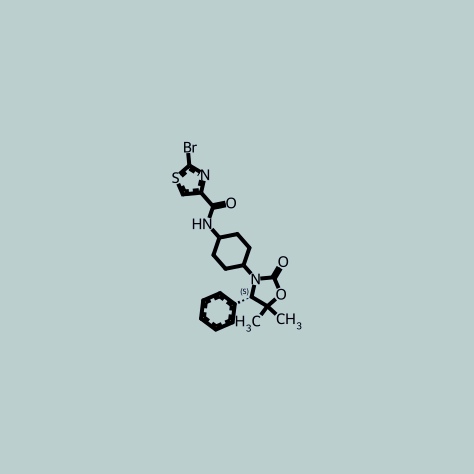 CC1(C)OC(=O)N(C2CCC(NC(=O)c3csc(Br)n3)CC2)[C@H]1c1ccccc1